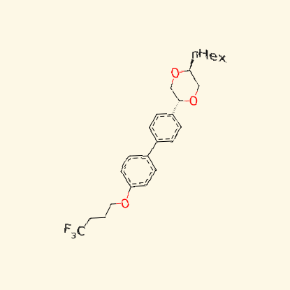 CCCCCC[C@H]1CO[C@H](c2ccc(-c3ccc(OCCCC(F)(F)F)cc3)cc2)CO1